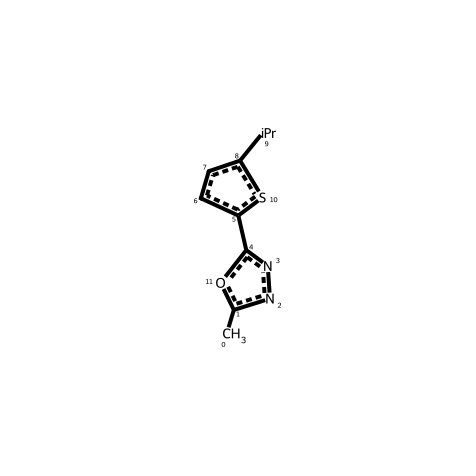 Cc1nnc(-c2ccc(C(C)C)s2)o1